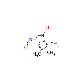 Cc1cccc(C)c1C.O=C=NCCN=C=O